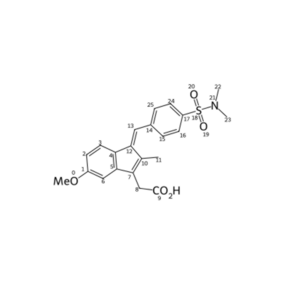 COc1ccc2c(c1)C(CC(=O)O)=C(C)C2=Cc1ccc(S(=O)(=O)N(C)C)cc1